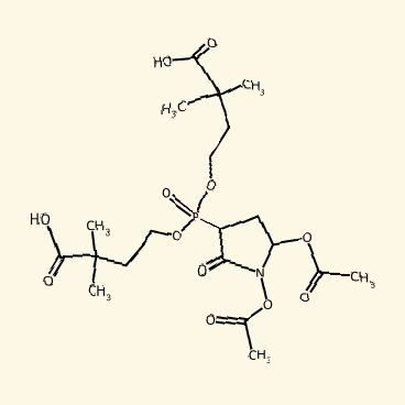 CC(=O)OC1CC(P(=O)(OCCC(C)(C)C(=O)O)OCCC(C)(C)C(=O)O)C(=O)N1OC(C)=O